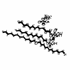 CCCCCCCCCCCCOCCCCCCCCCCCC.CCCCCCCCCCCCOS(=O)(=O)O.CCCCCCCCCCCCOS(=O)(=O)O.O=S(=O)([O-])[O-].[Na+].[Na+]